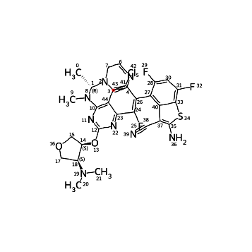 C[C@H](N1C=CN=CC1)N(C)c1nc(O[C@@H]2COC[C@@H]2N(C)C)nc2c(F)c(-c3c(F)cc(F)c4sc(N)c(C#N)c34)c(Cl)cc12